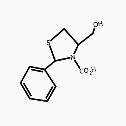 O=C(O)N1C(CO)CSC1c1ccccc1